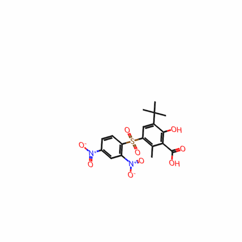 Cc1c(S(=O)(=O)c2ccc([N+](=O)[O-])cc2[N+](=O)[O-])cc(C(C)(C)C)c(O)c1C(=O)O